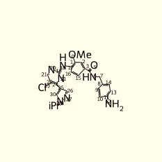 COc1cc(C(=O)NCc2ccc(N)cc2)ccc1Nc1ncc(Cl)c(-c2cnn(C(C)C)c2)n1